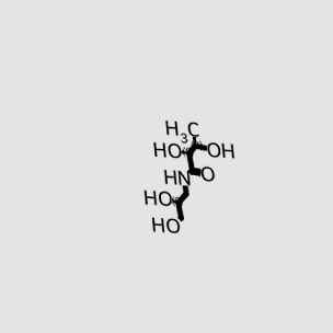 C[C@@H](O)[C@H](O)C(=O)NC[C@H](O)CO